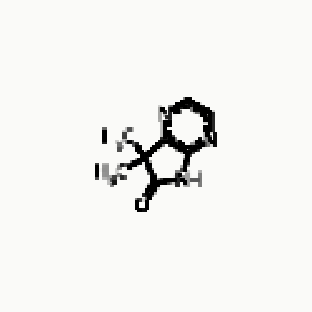 CC1(C)C(=O)Nc2nccnc21